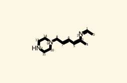 C\C=N/C(C)=C\C=C\CN1CCNCC1